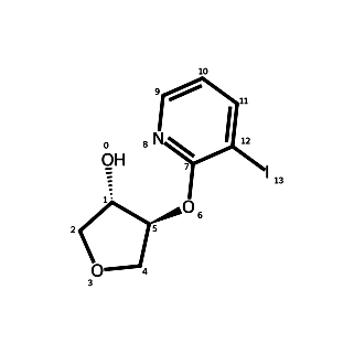 O[C@H]1COC[C@@H]1Oc1ncccc1I